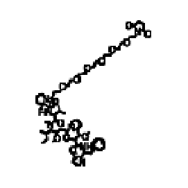 CCC(C)C(C(CC(=O)N1CCC[C@H]1C(OC)C(C)C(=O)NC(Cc1ccccc1)c1nccs1)OC)N(C)C(=O)C(NC(=O)[C@]1(C)CCCN1C(=O)CCOCCOCCOCCOCCOCCOCCN1C(=O)C=CC1=O)C(C)C